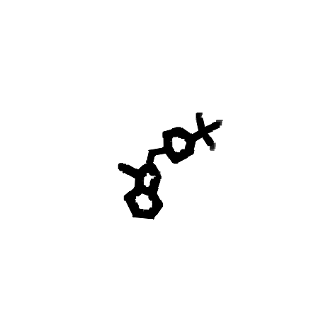 O=c1c2ccccc2sn1Cc1ccc(C(F)(F)F)cc1